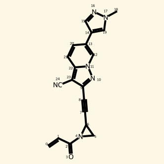 C=CC(=O)N1CC1C#Cc1nn2cc(-c3cnn(C)c3)ccc2c1C#N